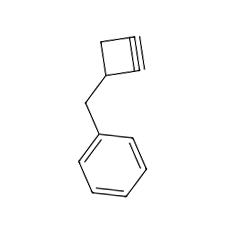 C1#CC(Cc2ccccc2)C1